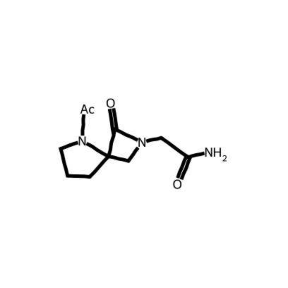 CC(=O)N1CCCC12CN(CC(N)=O)C2=O